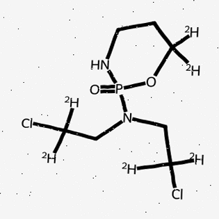 [2H]C([2H])(Cl)CN(CC([2H])([2H])Cl)P1(=O)NCCC([2H])([2H])O1